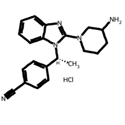 C[C@H](c1ccc(C#N)cc1)n1c(N2CCCC(N)C2)nc2ccccc21.Cl